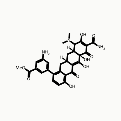 COC(=O)c1cc(N)cc(-c2ccc(O)c3c2C[C@@H]2C[C@@H]4C(N(C)C)C(O)=C(C(N)=O)C(=O)[C@]4(O)C(O)=C2C3=O)c1